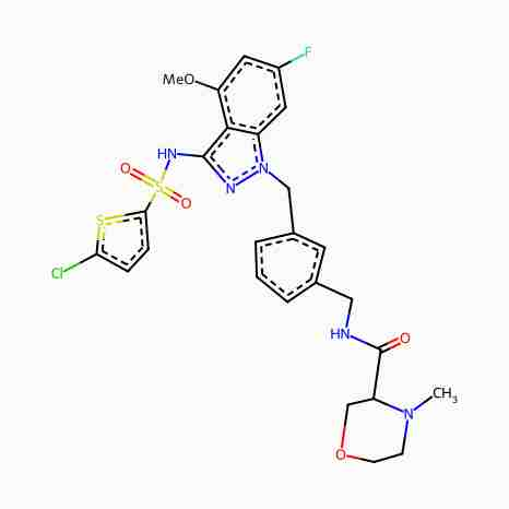 COc1cc(F)cc2c1c(NS(=O)(=O)c1ccc(Cl)s1)nn2Cc1cccc(CNC(=O)C2COCCN2C)c1